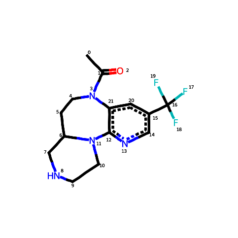 CC(=O)N1CCC2CNCCN2c2ncc(C(F)(F)F)cc21